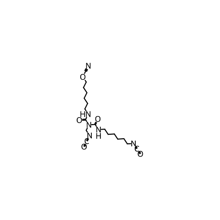 N#COCCCCCCNC(=O)N(CN=C=O)C(=O)NCCCCCCN=C=O